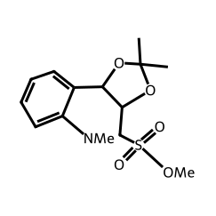 CNc1ccccc1C1OC(C)(C)OC1CS(=O)(=O)OC